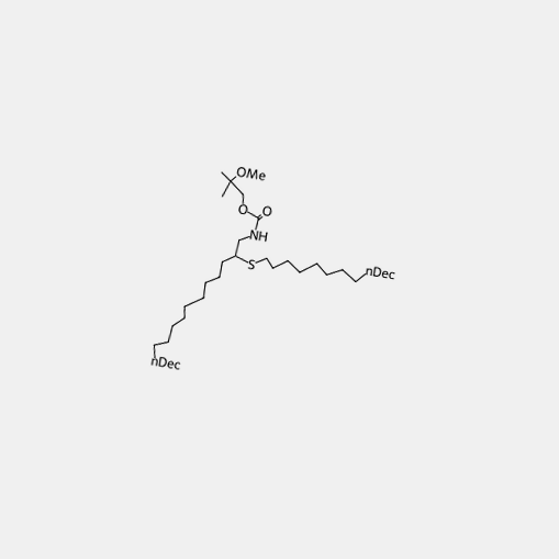 CCCCCCCCCCCCCCCCCCCC(CNC(=O)OCC(C)(C)OC)SCCCCCCCCCCCCCCCCCC